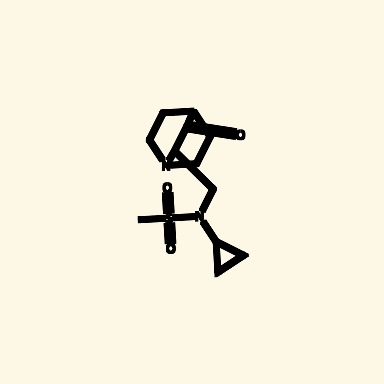 CS(=O)(=O)N(CC1C(=O)C2CCN1CC2)C1CC1